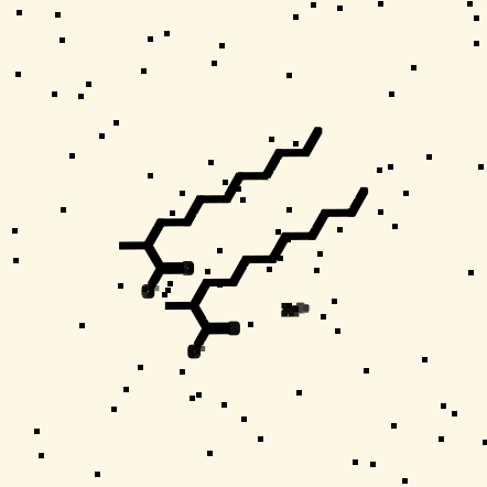 CCCCCCCCCC(C)C(=O)[O-].CCCCCCCCCC(C)C(=O)[O-].[Zn+2]